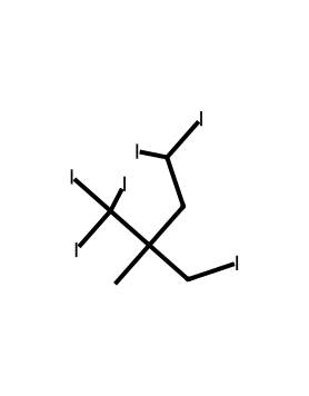 CC(CI)(CC(I)I)C(I)(I)I